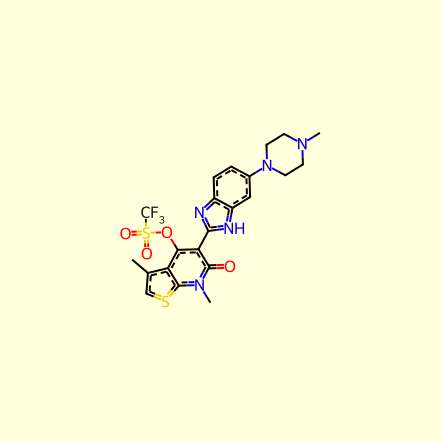 Cc1csc2c1c(OS(=O)(=O)C(F)(F)F)c(-c1nc3ccc(N4CCN(C)CC4)cc3[nH]1)c(=O)n2C